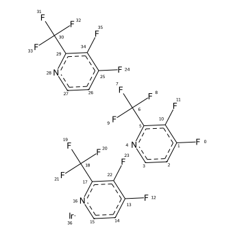 Fc1ccnc(C(F)(F)F)c1F.Fc1ccnc(C(F)(F)F)c1F.Fc1ccnc(C(F)(F)F)c1F.[Ir]